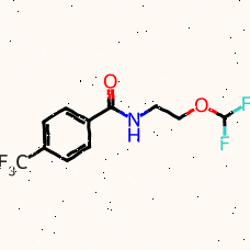 O=C(NCCOC(F)F)c1ccc(C(F)(F)F)cc1